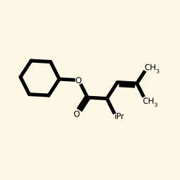 CC(C)=CC(C(=O)OC1CCCCC1)C(C)C